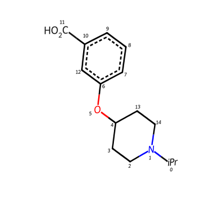 CC(C)N1CCC(Oc2cccc(C(=O)O)c2)CC1